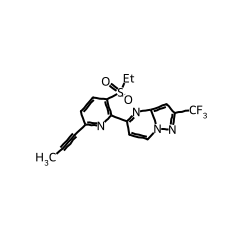 CC#Cc1ccc(S(=O)(=O)CC)c(-c2ccn3nc(C(F)(F)F)cc3n2)n1